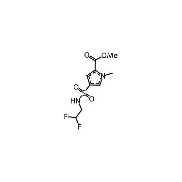 COC(=O)c1cc(S(=O)(=O)NCC(F)F)cn1C